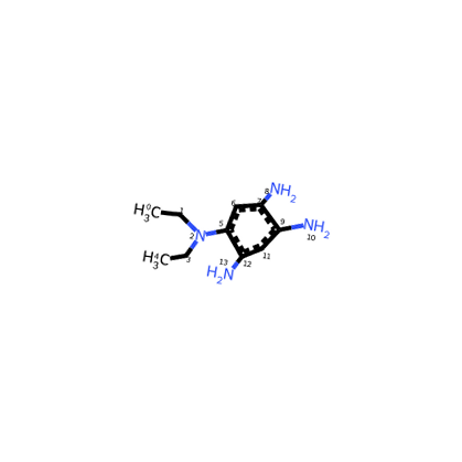 CCN(CC)c1cc(N)c(N)cc1N